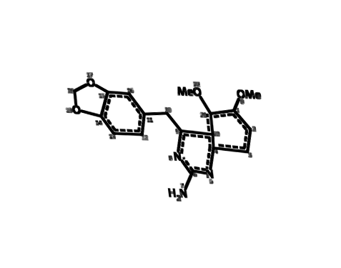 COc1ccc2nc(N)nc(Cc3ccc4c(c3)OCO4)c2c1OC